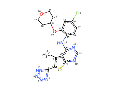 Cc1c(-c2nnn[nH]2)sc2ncnc(Nc3ccc(F)cc3OC3CCOCC3)c12